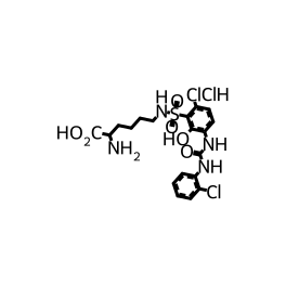 Cl.NC(CCCCNS(=O)(=O)c1c(Cl)ccc(NC(=O)Nc2ccccc2Cl)c1O)C(=O)O